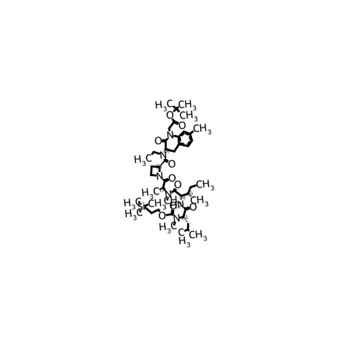 CC[C@H](C)[C@H](NC(=O)[C@H](CC(C)C)N(C)C(=O)OCC[Si](C)(C)C)C(=O)N(C)[C@@H](C)C(=O)N1CC[C@H]1C(=O)N(CC)[C@H]1Cc2ccc(C)cc2N(CC(=O)OC(C)(C)C)C1=O